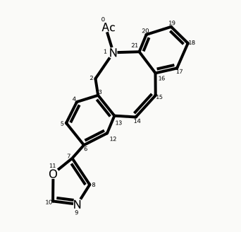 CC(=O)N1Cc2ccc(-c3cnco3)cc2/C=C\c2ccccc21